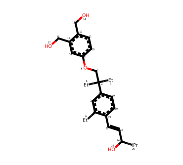 CCc1cc(C(CC)(CC)COc2ccc(CO)c(CO)c2)ccc1C=CC(O)C(C)C